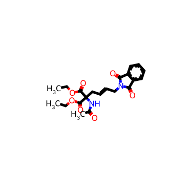 CCOC(=O)C(C/C=C/CN1C(=O)c2ccccc2C1=O)(NC(C)=O)C(=O)OCC